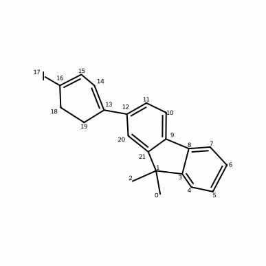 CC1(C)c2ccccc2-c2ccc(C3=CC=C(I)CC3)cc21